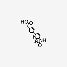 Cn1c(=O)[nH]c2ccc(-c3ccc(CC(=O)O)cc3)nc21